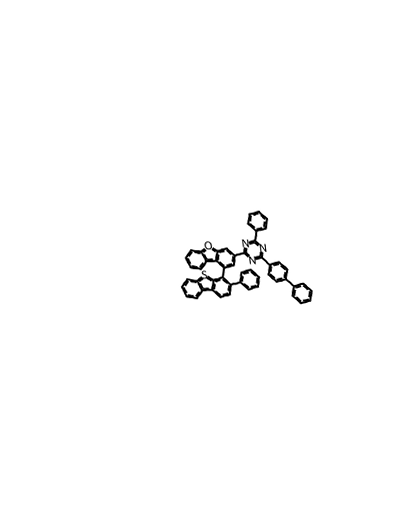 c1ccc(-c2ccc(-c3nc(-c4ccccc4)nc(-c4cc(-c5c(-c6ccccc6)ccc6c5sc5ccccc56)c5c(c4)oc4ccccc45)n3)cc2)cc1